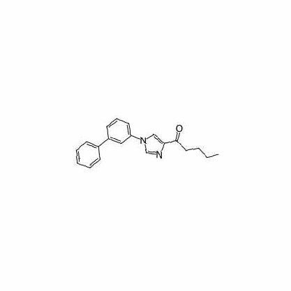 CCCCC(=O)c1cn(-c2cccc(-c3ccccc3)c2)cn1